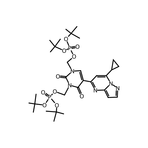 CC(C)(C)OP(=O)(OCn1cc(-c2cc(C3CC3)n3nccc3n2)c(=O)n(COP(=O)(OC(C)(C)C)OC(C)(C)C)c1=O)OC(C)(C)C